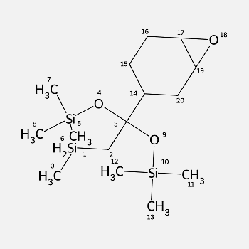 C[SiH2]CC(O[Si](C)(C)C)(O[Si](C)(C)C)C1CCC2OC2C1